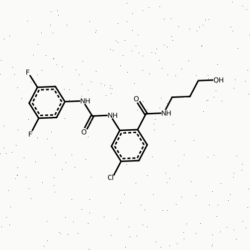 O=C(Nc1cc(F)cc(F)c1)Nc1cc(Cl)ccc1C(=O)NCCCO